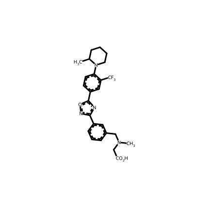 CC1CCCCN1c1ccc(-c2nc(-c3cccc(CN(C)CC(=O)O)c3)no2)cc1C(F)(F)F